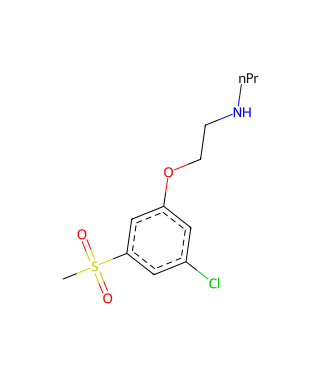 CCCNCCOc1cc(Cl)cc(S(C)(=O)=O)c1